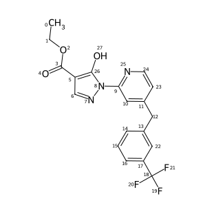 CCOC(=O)c1cnn(-c2cc(Cc3cccc(C(F)(F)F)c3)ccn2)c1O